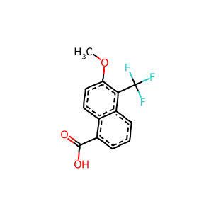 COc1ccc2c(C(=O)O)cccc2c1C(F)(F)F